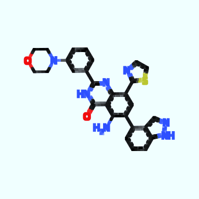 Nc1c(-c2cccc3[nH]ncc23)cc(-c2nccs2)c2nc(-c3cccc(N4CCOCC4)c3)[nH]c(=O)c12